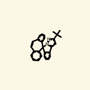 CC(C)(C)c1cc2n(n1)C1(c3ccccc3C=Cc3ccccc31)c1ccccc1-2